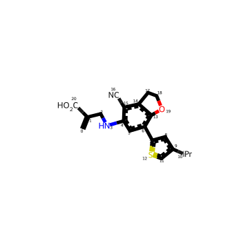 C=C(CNc1cc(-c2cc(C(C)C)cs2)c2c(c1C#N)CCO2)C(=O)O